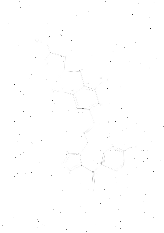 CCc1ccc(C(=O)c2cccn2C/C=C/c2cc(CC)c(COCC(OC)C(=O)O)c(OC)c2)cc1